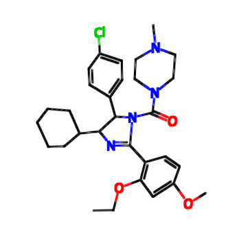 CCOc1cc(OC)ccc1C1=NC(C2CCCCC2)C(c2ccc(Cl)cc2)N1C(=O)N1CCN(C)CC1